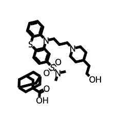 CN(C)S(=O)(=O)c1ccc2c(c1)N(CCCN1CCC(CCO)CC1)c1ccccc1S2.O=C(O)C12CC3CC(CC(C3)C1)C2